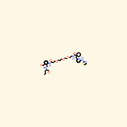 CCCC(C=O)N(C)Cc1c(C=O)cccc1NC(=O)CCOCCCOCCOCCNC(=O)C1(Cc2cccc(Nc3nccs3)n2)CCCCC1